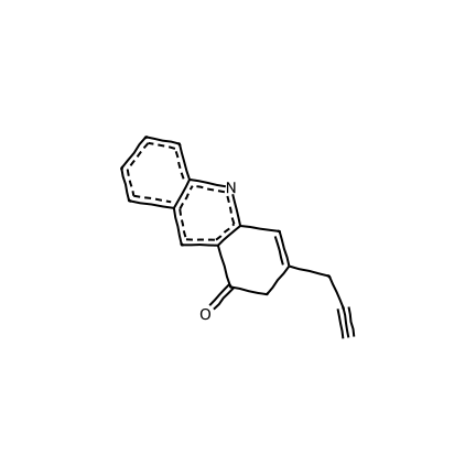 C#CCC1=Cc2nc3ccccc3cc2C(=O)C1